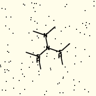 CN(C)N([SiH](C)C)[SH](C)C